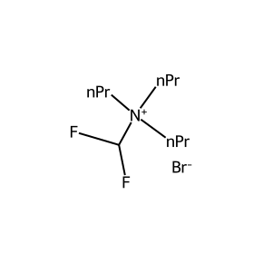 CCC[N+](CCC)(CCC)C(F)F.[Br-]